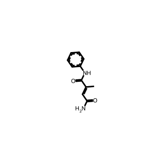 C/C(=C\C(N)=O)C(=O)Nc1ccccc1